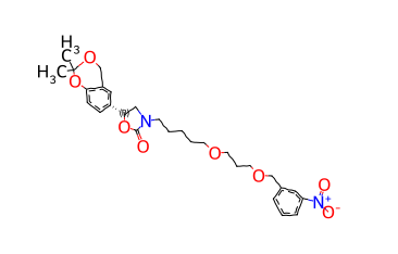 CC1(C)OCc2cc([C@@H]3CN(CCCCCOCCCOCc4cccc([N+](=O)[O-])c4)C(=O)O3)ccc2O1